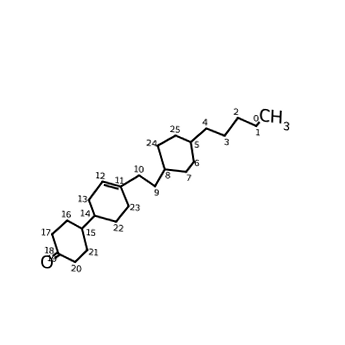 CCCCCC1CCC(CCC2=CCC(C3CCC(=O)CC3)CC2)CC1